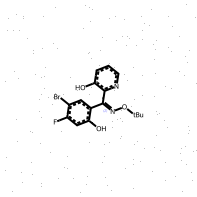 CC(C)(C)O/N=C(/c1cc(Br)c(F)cc1O)c1ncccc1O